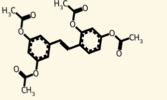 CC(=O)Oc1cc(C=Cc2ccc(OC(C)=O)cc2OC(C)=O)cc(OC(C)=O)c1